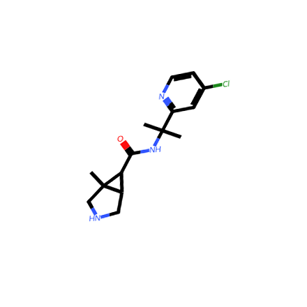 CC(C)(NC(=O)C1C2CNCC21C)c1cc(Cl)ccn1